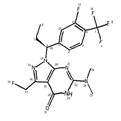 CC[C@@H](c1ccc(C(F)(F)F)c(F)c1)n1nc(CF)c2c(=O)[nH]c(N(C)C)nc21